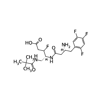 CC(C)(C)C(=O)NC[C@@H](NC(=O)C[C@H](N)Cc1cc(F)c(F)cc1F)C(F)CC(=O)O